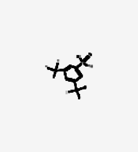 O=P(O)(O)c1cc(C(F)(F)F)cc(C(F)(F)F)c1